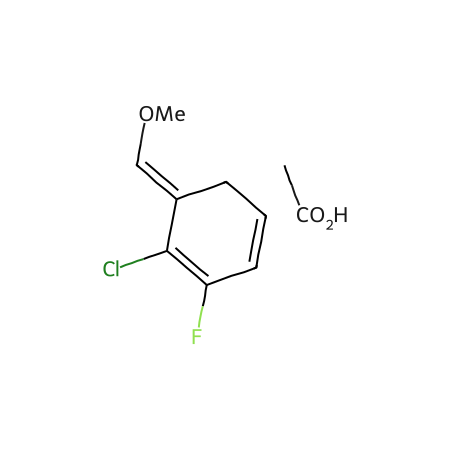 CC(=O)O.COC=C1CC=CC(F)=C1Cl